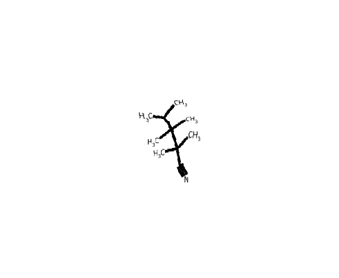 CC(C)C(C)(C)C(C)(C)C#N